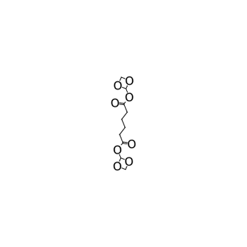 O=C(CCCCC(=O)OC1OCO1)OC1OCO1